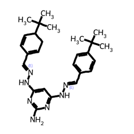 CC(C)(C)c1ccc(/C=N/Nc2cc(N/N=C/C3=CCC(C(C)(C)C)C=C3)nc(N)n2)cc1